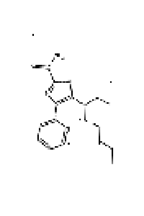 CCCCCC(CC)c1sc(C(N)=O)nc1-c1ccccn1